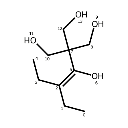 CCC(CC)=C(O)C(CO)(CO)CO